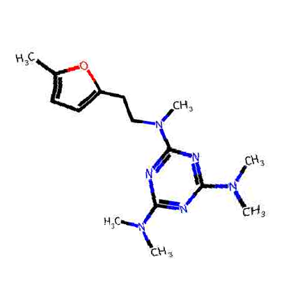 Cc1ccc(CCN(C)c2nc(N(C)C)nc(N(C)C)n2)o1